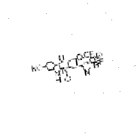 N#Cc1ccc2c(c1)[nH]c1c2c(=O)c2cc(OCC(F)(F)F)c(-c3cncc(OS(=O)(=O)F)c3)cc2n1C1CCC1